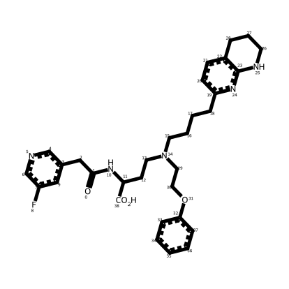 O=C(Cc1cncc(F)c1)NC(CCN(CCCCc1ccc2c(n1)NCCC2)CCOc1ccccc1)C(=O)O